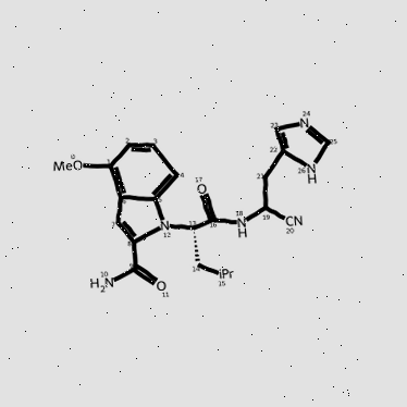 COc1cccc2c1cc(C(N)=O)n2[C@@H](CC(C)C)C(=O)NC(C#N)Cc1cnc[nH]1